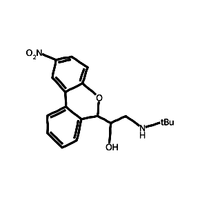 CC(C)(C)NCC(O)C1Oc2ccc([N+](=O)[O-])cc2-c2ccccc21